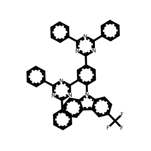 FC(F)(F)c1ccc2c(c1)c1ccccc1n2-c1ccc(-c2nc(-c3ccccc3)nc(-c3ccccc3)n2)cc1-c1nc(-c2ccccc2)nc(-c2ccccc2)n1